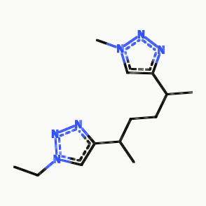 CCn1cc(C(C)CCC(C)c2cn(C)nn2)nn1